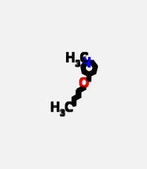 CCC/C=C/COCC1CCCN(C)CC1